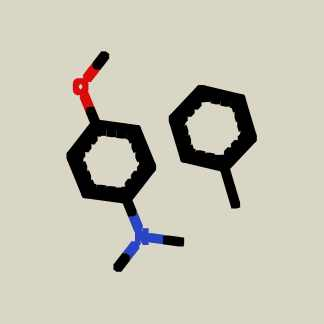 COc1ccc(N(C)C)cc1.Cc1ccccc1